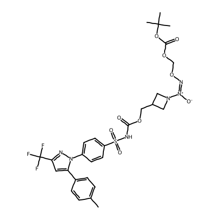 Cc1ccc(-c2cc(C(F)(F)F)nn2-c2ccc(S(=O)(=O)NC(=O)OCC3CN(/[N+]([O-])=N\OCOC(=O)OC(C)(C)C)C3)cc2)cc1